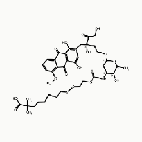 COc1cccc2c1C(=O)c1c(O)cc(C[C@](O)(CCO[C@H]3C[C@H](NC(=O)OCCSSCCCCCCC(C)(C)C(=O)O)[C@H](O)[C@H](C)O3)C(=O)CO)c(O)c1C2=O